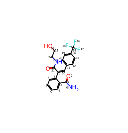 NC(=O)c1ccccc1C(=Cc1ccc(C(F)(F)F)cc1)C(=O)NCCO